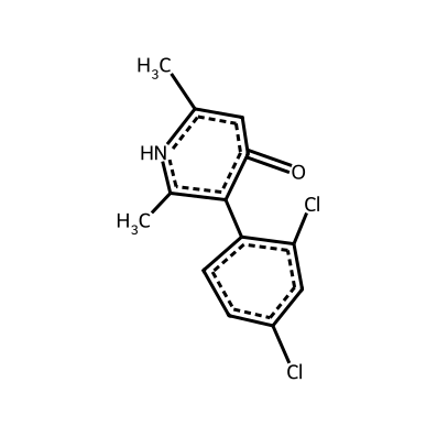 Cc1cc(=O)c(-c2ccc(Cl)cc2Cl)c(C)[nH]1